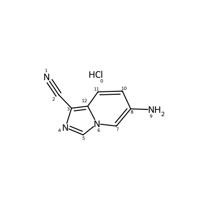 Cl.N#Cc1ncn2cc(N)ccc12